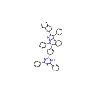 C1=CCCC(c2c(-c3ccc4c(c3)C=CCC4)nn3c(-c4ccccc4)c(-c4ccc(C5N=C(c6ccccc6)N=C(C6=CCCC=C6)N5)cc4)c4ccccc4c23)=C1